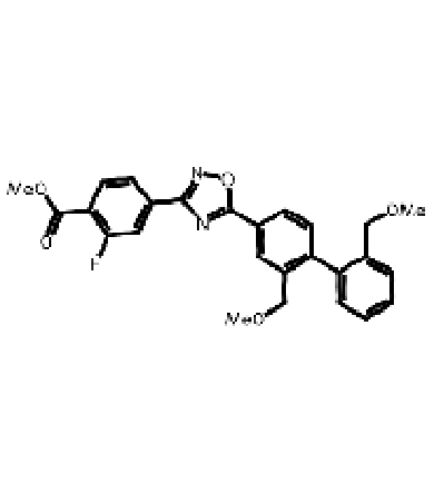 COCc1ccccc1-c1ccc(-c2nc(-c3ccc(C(=O)OC)c(F)c3)no2)cc1COC